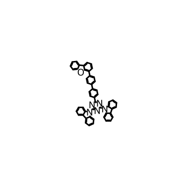 c1ccc2c(c1)oc1c(-c3ccc(-c4ccc(-c5nc(-n6c7ccccc7c7ccccc76)nc(-n6c7ccccc7c7ccccc76)n5)cc4)cc3)cccc12